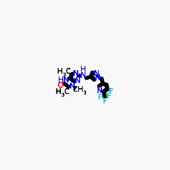 Cc1nc(NCc2cnn(Cc3cnc(C(F)(F)F)c(F)c3)c2)nc2c1NC(=O)[C@H](C)N2C